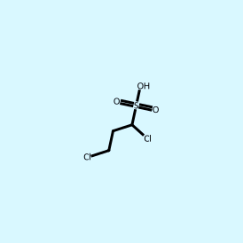 O=S(=O)(O)C(Cl)CCCl